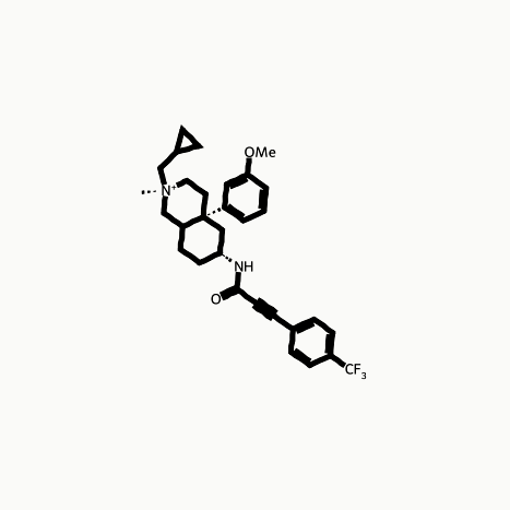 COc1cccc([C@@]23CC[N@+](C)(CC4CC4)CC2CC[C@@H](NC(=O)C#Cc2ccc(C(F)(F)F)cc2)C3)c1